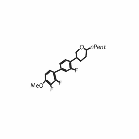 CCCCCC1CCC(c2ccc(-c3ccc(OC)c(F)c3F)cc2F)CO1